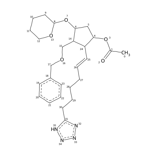 CC(=O)OC1CC(OC2CCCCO2)C(COCc2ccccc2)C1C=CCCCCc1nnn[nH]1